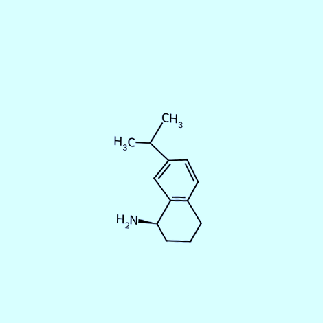 CC(C)c1ccc2c(c1)[C@H](N)CCC2